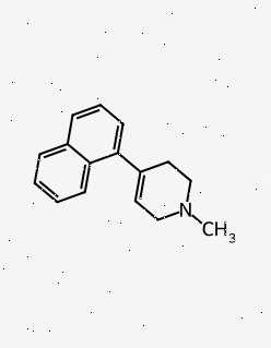 CN1CC=C(c2cccc3ccccc23)CC1